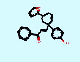 O=C(/C=C/C1(c2ccc(O)cc2)C=CC=C(c2ccco2)C1)c1ccccc1